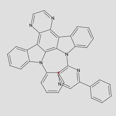 c1ccc(-c2cncc(-n3c4ccccc4c4c5nccnc5c5c6ccccc6n(-c6ccccc6)c5c43)n2)cc1